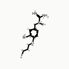 N=C(N)N(F)Cc1ccc(OCCCF)c(Br)c1